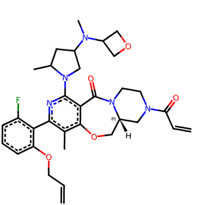 C=CCOc1cccc(F)c1-c1nc(N2CC(N(C)C3COC3)CC2C)c2c(c1C)OC[C@H]1CN(C(=O)C=C)CCN1C2=O